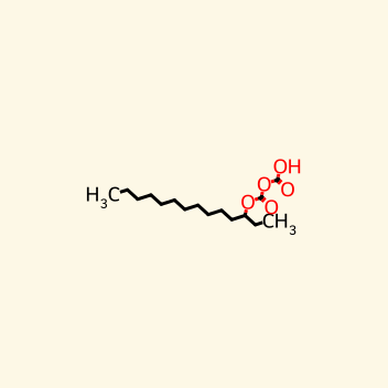 CCCCCCCCCCCC(CC)OC(=O)OC(=O)O